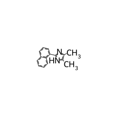 Cc1nc(-c2cccc3ccccc23)[nH]c1C